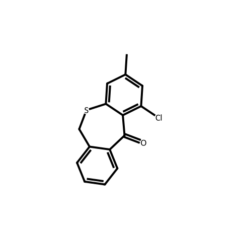 Cc1cc(Cl)c2c(c1)SCc1ccccc1C2=O